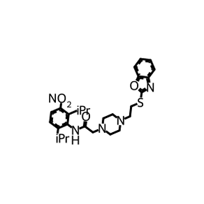 CC(C)c1ccc([N+](=O)[O-])c(C(C)C)c1NC(=O)CN1CCN(CCSc2nc3ccccc3o2)CC1